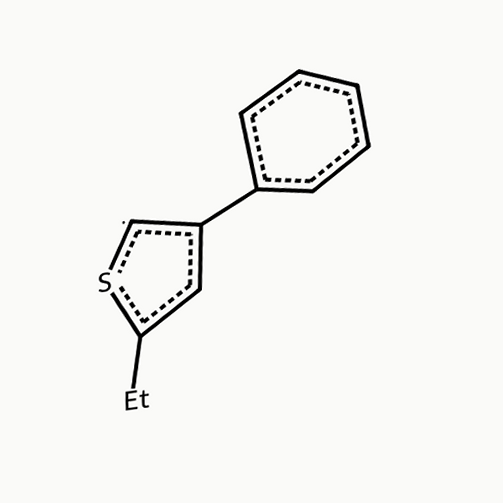 CCc1cc(-c2ccccc2)[c]s1